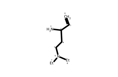 C=CC(N)CCN(CC)CC